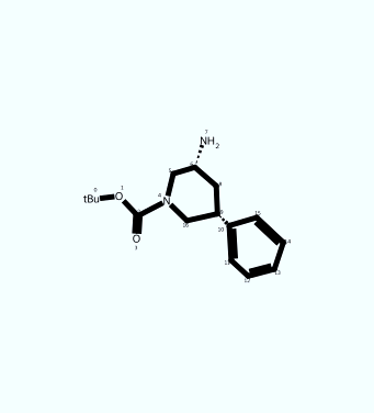 CC(C)(C)OC(=O)N1C[C@H](N)C[C@H](c2ccccc2)C1